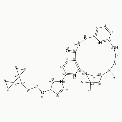 CC1CCNc2cccc(n2)SNC(=O)c2ccc(N3C=CC(OCCC4C5(CC5)C45CC5)N3)nc2N2CC1CC2(C)C